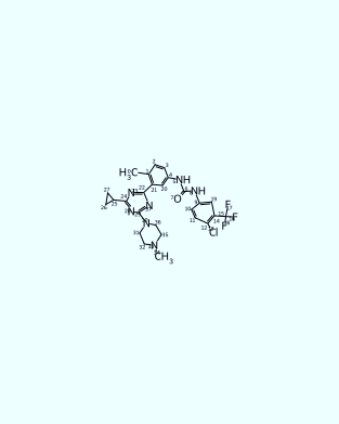 Cc1ccc(NC(=O)Nc2ccc(Cl)c(C(F)(F)F)c2)cc1-c1nc(C2CC2)nc(N2CCN(C)CC2)n1